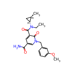 CCN(C(=O)c1cc(C(N)=O)cn(Cc2cccc(OC)c2)c1=O)[C@@H]1C[C@H]1C